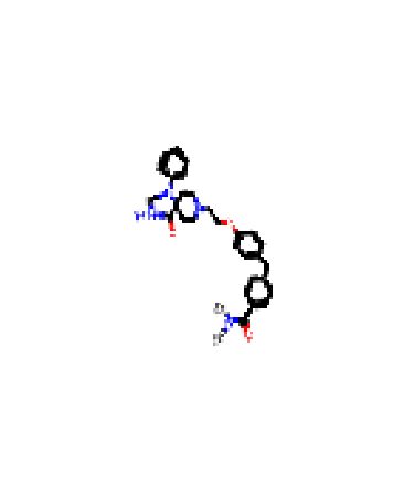 CCN(CC)C(=O)c1ccc(Cc2ccc(OCCN3CCC4(CC3)C(=O)NCN4c3ccccc3)cc2)cc1